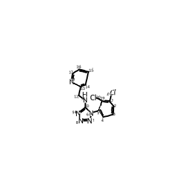 Clc1cccc(-n2nnnc2NCc2ccccn2)c1Cl